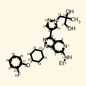 CCNc1cc2c(cn1)c(-c1cnn(CC(C)(O)CO)c1)nn2[C@H]1CC[C@@H](Oc2ccccc2F)CC1